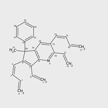 C=C/C=C\C1=C(C=C)c2nc(C=C)c(/C=C\C=C)cc2C1(C)c1ccccc1